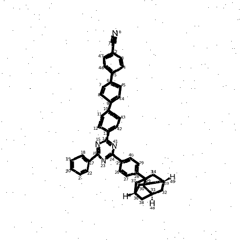 N#Cc1ccc(-c2ccc(-c3ccc(-c4nc(-c5ccccc5)nc(-c5ccc(C67C[C@H]8C[C@@H](C6)C[C@@H](C7)C8)cc5)n4)cc3)cc2)cc1